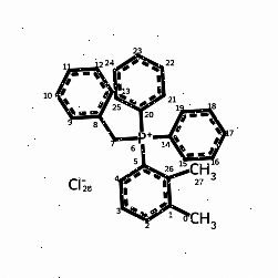 Cc1cccc([P+](Cc2ccccc2)(c2ccccc2)c2ccccc2)c1C.[Cl-]